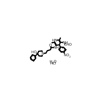 CC1=C(NC=O)C(c2ccc([N+](=O)[O-])cc2)C(NC(=O)CCCN2CCC(O)(c3ccccc3)CC2)=C(C)N1.Cl.O